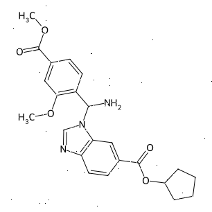 COC(=O)c1ccc(C(N)n2cnc3ccc(C(=O)OC4CCCC4)cc32)c(OC)c1